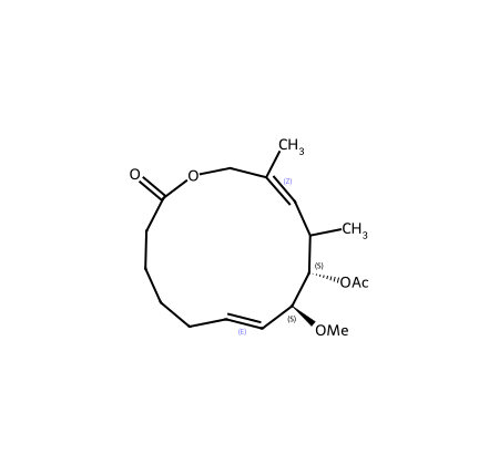 CO[C@H]1/C=C/CCCCC(=O)OC/C(C)=C\C(C)[C@@H]1OC(C)=O